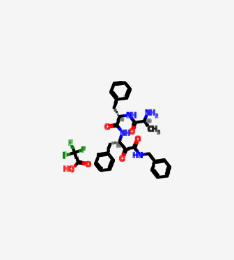 C[C@H](N)C(=O)N[C@@H](Cc1ccccc1)C(=O)N[C@@H](Cc1ccccc1)C(=O)C(=O)NCc1ccccc1.O=C(O)C(F)(F)F